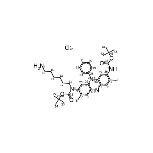 Cc1cc2nc3cc(C)c(N(CCCCCCN)C(=O)OC(C)(C)C)cc3[n+](-c3ccccc3)c2cc1NC(=O)OC(C)(C)C.[Cl-]